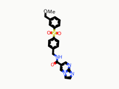 COCc1cccc(S(=O)(=O)c2ccc(CNC(=O)c3cnc4nccn4c3)cc2)c1